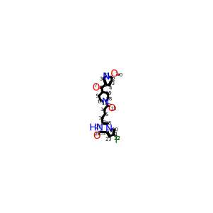 COc1ccc(C(=O)C2CCN(C(=O)CCCc3cn4cc(F)cc4c(=O)[nH]3)CC2)cn1